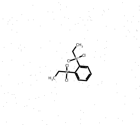 CC[N+](Cl)(Cl)c1ccccc1[N+](Cl)(Cl)CC